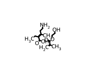 C=C(C)C(=O)OCCO.CCC(C(=O)O)=C(C)CCN